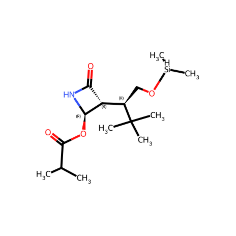 CC(C)C(=O)O[C@H]1NC(=O)[C@@H]1[C@@H](CO[SiH](C)C)C(C)(C)C